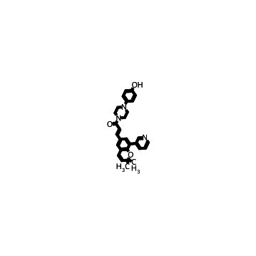 CC1(C)C=Cc2cc(/C=C/C(=O)N3CCN(c4ccc(O)cc4)CC3)cc(-c3cccnc3)c2O1